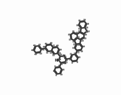 c1ccc(C2=NC(c3cccc(-c4ccc5c(c4)-c4cccc6c4c-5cc4sc5ccccc5c46)c3)=NC(c3ccc4ccc(-c5ccccc5)cc4c3)N2)cc1